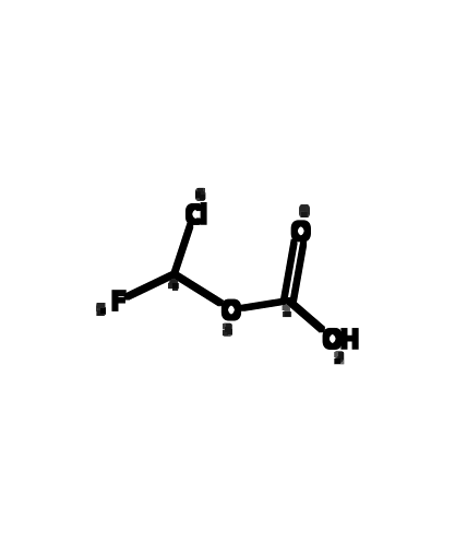 O=C(O)OC(F)Cl